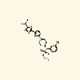 CCS(=O)(=O)N(c1cccc(Cl)c1)C1CCN(c2nc(-c3nnc(C(F)F)o3)cs2)CC1